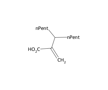 C=C(C(=O)O)C(CCCCC)CCCCC